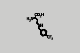 N[C@@H](CCNCc1ccc(C(F)(F)F)cc1)C(=O)O